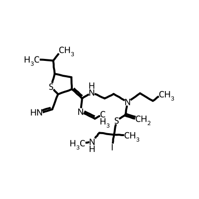 C=C(SC(C)(I)CNC)N(CCC)CCNC(/N=C\C)=C1\CC(C(C)C)SC1C=N